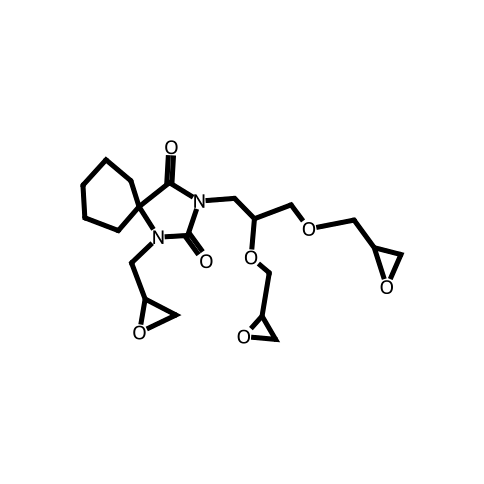 O=C1N(CC(COCC2CO2)OCC2CO2)C(=O)C2(CCCCC2)N1CC1CO1